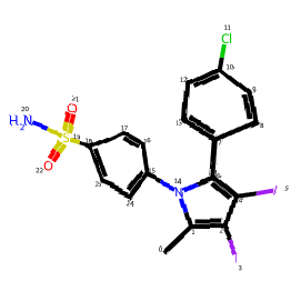 Cc1c(I)c(I)c(-c2ccc(Cl)cc2)n1-c1ccc(S(N)(=O)=O)cc1